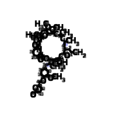 C=CC[C@@H]1/C=C(\C)C[C@H](C)C[C@H](OC)C2O[C@@](O)(C(=O)C(=O)N3CCCC[C@H]3C(=O)O[C@H](/C(C)=C/[C@@H]3CC[C@@H](OC[C@H]4CCC(=O)O4)[C@H](OC)C3)[C@H](C)[C@@H](O)CC1=O)[C@H](C)C[C@@H]2OC